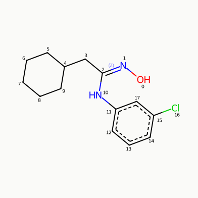 O/N=C(/CC1CCCCC1)Nc1cccc(Cl)c1